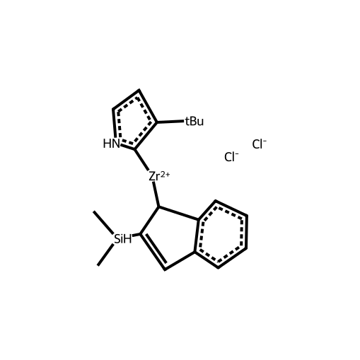 C[SiH](C)C1=Cc2ccccc2[CH]1[Zr+2][c]1[nH]ccc1C(C)(C)C.[Cl-].[Cl-]